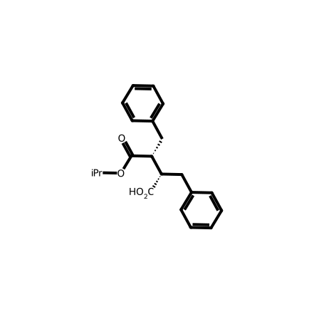 CC(C)OC(=O)[C@H](Cc1ccccc1)[C@H](Cc1ccccc1)C(=O)O